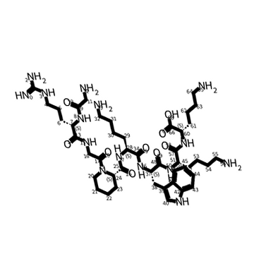 N=C(N)NCCC[C@H](NC(=O)CN)C(=O)NCC(=O)N1CCCC[C@H]1C(=O)N[C@@H](CCCCN)C(=O)N[C@@H](Cc1c[nH]c2ccccc12)C(=O)N[C@@H](CCCCN)C(=O)N[C@@H](CCCCN)C(=O)O